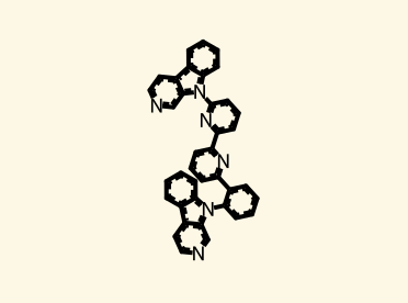 c1cc(-c2cccc(-n3c4ccccc4c4ccncc43)n2)nc(-c2ccccc2-n2c3ccccc3c3ccncc32)c1